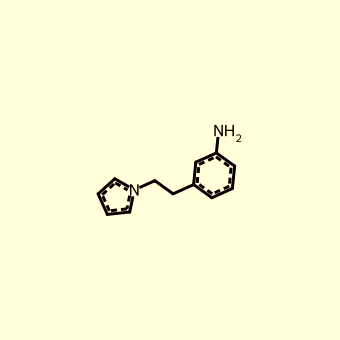 Nc1cccc(CCn2cccc2)c1